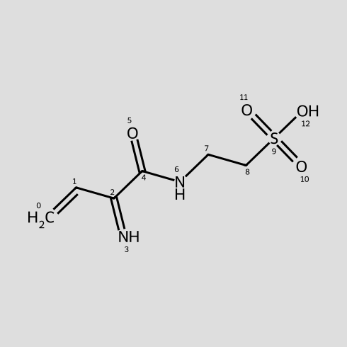 C=CC(=N)C(=O)NCCS(=O)(=O)O